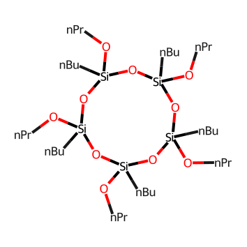 CCCC[Si]1(OCCC)O[Si](CCCC)(OCCC)O[Si](CCCC)(OCCC)O[Si](CCCC)(OCCC)O[Si](CCCC)(OCCC)O1